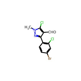 Cn1nc(-c2ccc(Br)cc2Cl)c(C=O)c1Cl